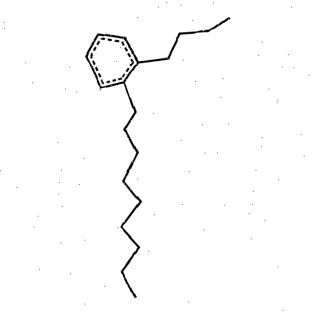 CCCCCCCCCc1[c]cccc1CCCC